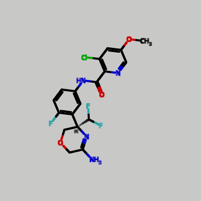 COc1cnc(C(=O)Nc2ccc(F)c([C@]3(C(F)F)COCC(N)=N3)c2)c(Cl)c1